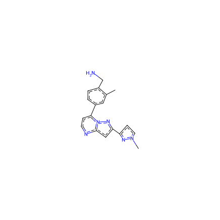 Cc1cc(-c2ccnc3cc(-c4ccn(C)n4)nn23)ccc1CN